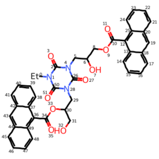 CCn1c(=O)n(CC(O)COC(=O)c2c3ccccc3cc3ccccc23)c(=O)n(CC(CO)OC(=O)c2c3ccccc3cc3ccccc23)c1=O